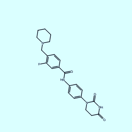 O=C1CCN(c2ccc(NC(=O)c3ccc(CN4CCCCC4)c(F)c3)cc2)C(=O)N1